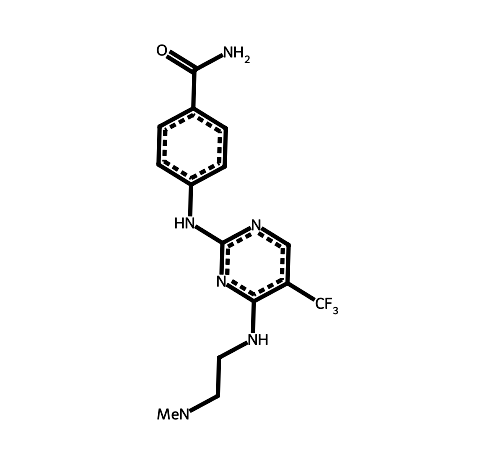 CNCCNc1nc(Nc2ccc(C(N)=O)cc2)ncc1C(F)(F)F